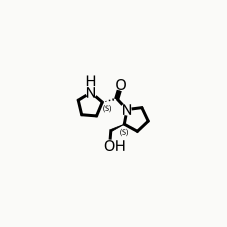 O=C([C@@H]1CCCN1)N1CCC[C@H]1CO